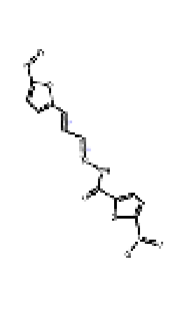 O=Nc1ccc(/C=C/C=N/NC(=O)c2ccc([N+](=O)[O-])s2)o1